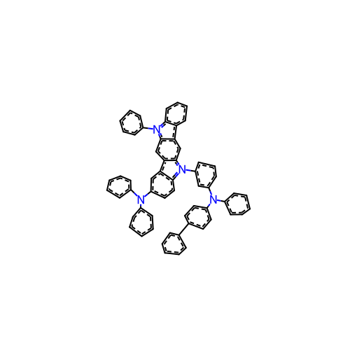 c1ccc(-c2ccc(N(c3ccccc3)c3cccc(-n4c5ccc(N(c6ccccc6)c6ccccc6)cc5c5cc6c(cc54)c4ccccc4n6-c4ccccc4)c3)cc2)cc1